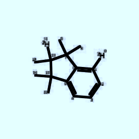 [2H]c1cccc2c1C(C)(C)C([2H])(C)C2(C)C